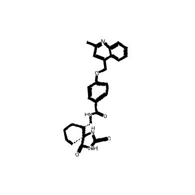 Cc1cc(COc2ccc(C(=O)NC[C@H]3CCCC[C@@]34NC(=O)NC4=O)cc2)c2ccccc2n1